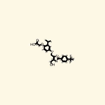 CC(C)c1cc(SCc2sc(-c3ccc(C(F)(F)F)cc3)nc2CO)ccc1OCC(=O)O